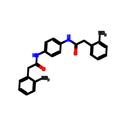 O=C(Cc1ccccc1[N+](=O)[O-])Nc1ccc(NC(=O)Cc2ccccc2[N+](=O)[O-])cc1